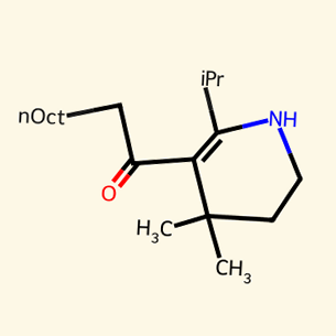 CCCCCCCCCC(=O)C1=C(C(C)C)NCCC1(C)C